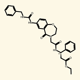 CCOC(=O)C[C@@H](NC(=O)CN1CCOc2ccc(NC(=O)NCc3ccccc3)cc2C1=O)c1ccccc1